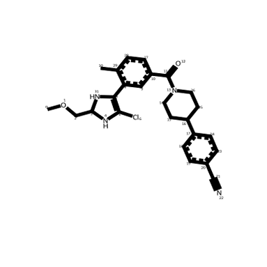 COCC1NC(Cl)=C(c2cc(C(=O)N3CCC(c4ccc(C#N)cc4)CC3)ccc2C)N1